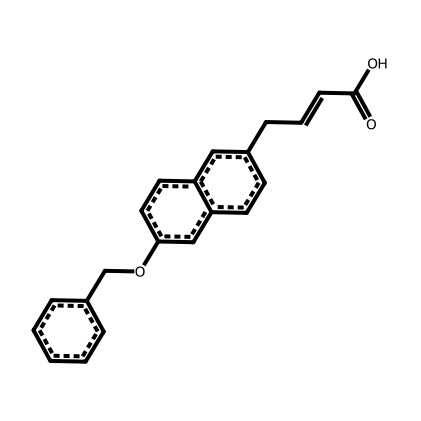 O=C(O)C=CCc1ccc2cc(OCc3ccccc3)ccc2c1